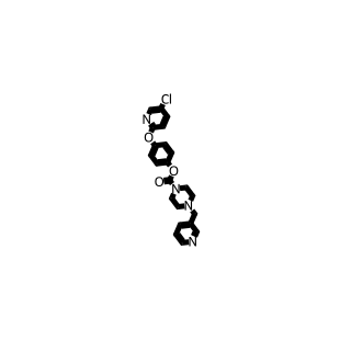 O=C(Oc1ccc(Oc2ccc(Cl)cn2)cc1)N1CCN(Cc2cccnc2)CC1